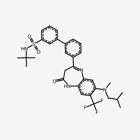 CC(C)CN(C)c1cc2c(cc1C(F)(F)F)NC(=O)CC(c1cccc(-c3cccc(S(=O)(=O)NC(C)(C)C)c3)c1)=N2